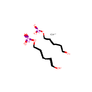 O=[PH]([O-])OCCCCCO.O=[PH]([O-])OCCCCCO.[Ca+2]